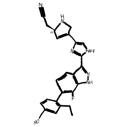 CCc1cc(O)ccc1-c1ccc2c(-c3nc(C4=C[C@@H](CC#N)NC4)c[nH]3)n[nH]c2c1F